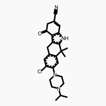 CC(C)N1CCN(c2cc3c(cc2Cl)Cc2c([nH]c4c2C(=O)CC(C#N)=C4)C3(C)C)CC1